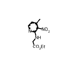 CCOC(=O)CNc1nccc(C)c1[N+](=O)[O-]